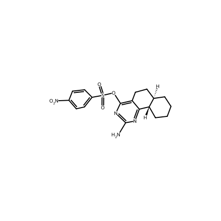 Nc1nc(OS(=O)(=O)c2ccc([N+](=O)[O-])cc2)c2c(n1)[C@H]1CCCC[C@@H]1CC2